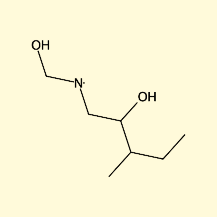 CCC(C)C(O)C[N]CO